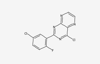 Fc1ccc(Cl)cc1-c1nc(Cl)c2nccnc2n1